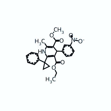 CCOC(=O)C1=C(C2(c3ccccc3)CC2)NC(C)=C(C(=O)OC)C1c1cccc([N+](=O)[O-])c1